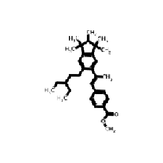 CCC(CC)CCc1cc2c(cc1C(C)=Cc1ccc(C(=O)OC)cc1)C(C)(C)C(C)C2(C)C